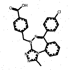 Cc1nnc2n1-c1ccccc1C(c1ccc(Cl)cc1)=NN2Cc1ccc(C(=O)O)cc1